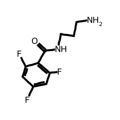 NCCCNC(=O)c1c(F)cc(F)cc1F